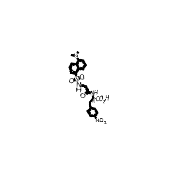 CN(C)c1cccc2c(S(=O)(=O)NCC(=O)N[C@@H](Cc3ccc([N+](=O)[O-])cc3)C(=O)O)cccc12